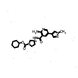 Cn1cc(-c2cnc(N)c(C(=O)N[C@@H]3CCN(C(=O)OC4CCCCC4)C3)c2)cn1